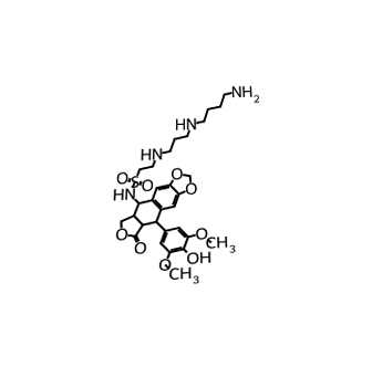 COc1cc(C2c3cc4c(cc3C(NS(=O)(=O)CCNCCCNCCCCN)C3COC(=O)C23)OCO4)cc(OC)c1O